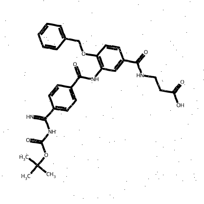 CC(C)(C)OC(=O)NC(=N)c1ccc(C(=O)Nc2cc(C(=O)NCCC(=O)O)ccc2OCc2ccccc2)cc1